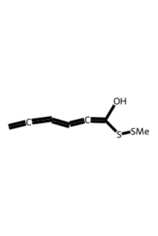 C=C=C=C=C=C(O)SSC